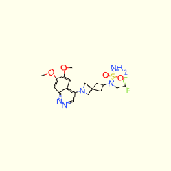 COc1cc2nncc(N3CC4(CC(N(CC(F)F)S(N)(=O)=O)C4)C3)c2cc1OC